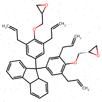 C=CCc1cc(C2(c3cc(CC=C)c(OC[C@@H]4CO4)c(CC=C)c3)c3ccccc3C3C=CC=CC32)cc(CC=C)c1OCC1CO1